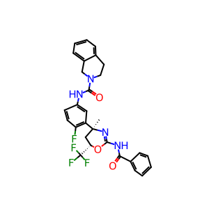 C[C@@]1(c2cc(NC(=O)N3CCc4ccccc4C3)ccc2F)C[C@@H](C(F)(F)F)OC(NC(=O)c2ccccc2)=N1